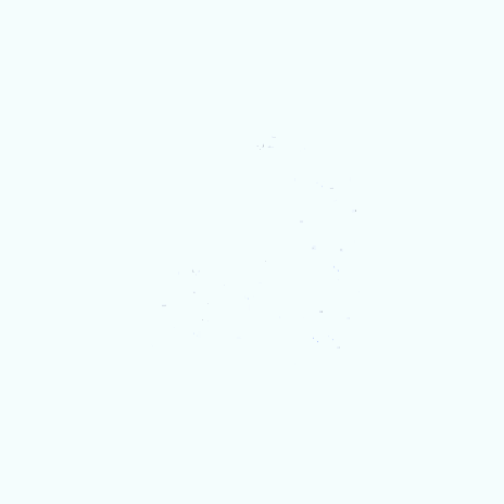 CCc1c(C(=O)NCc2c(OC)cc(C)[nH]c2=O)cc2c(cnn2C)c1N(CC)C1CCC(N(C)CCOC)CC1